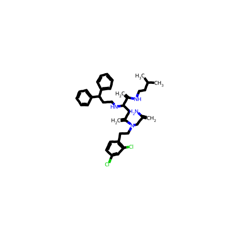 C=C(N)CN(CCc1ccc(Cl)cc1Cl)C(=C)CC(NCCC(c1ccccc1)c1ccccc1)C(=C)NCCC(C)C